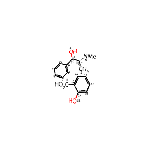 CN[C@H](C)[C@H](O)c1ccccc1.O=C(O)c1ccccc1O